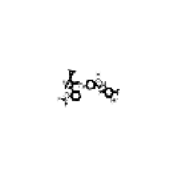 O[C@]1(c2nc3cc(F)c(Br)cc3s2)CC[C@H](OCc2c(-c3ccccc3OC(F)F)noc2C2CC2)CC1